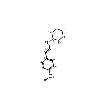 COc1ccc(/C=C/OC2CCCCC2)cc1